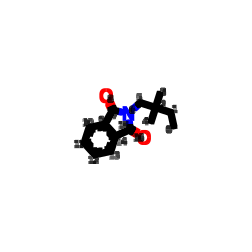 CCC(C)(C)CN1C(=O)c2ccccc2C1=O